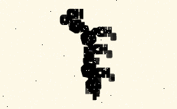 CCc1cc(/C(C)=N/OCc2ccc(-c3cnc(F)cn3)c(C)c2F)ccc1CN1CC[C@H](C(=O)O)C1